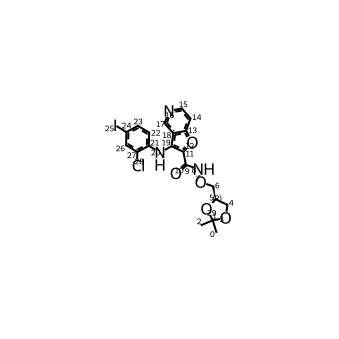 CC1(C)OC[C@H](CONC(=O)c2oc3ccncc3c2Nc2ccc(I)cc2Cl)O1